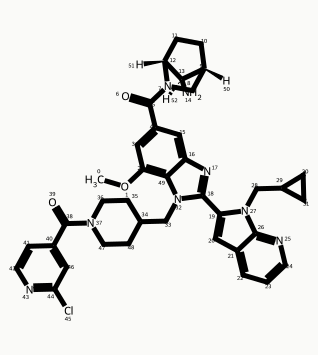 COc1cc(C(=O)N2C[C@H]3CC[C@@H]2[C@@H]3N)cc2nc(-c3cc4cccnc4n3CC3CC3)n(CC3CCN(C(=O)c4ccnc(Cl)c4)CC3)c12